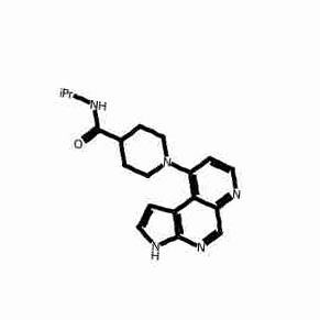 CC(C)NC(=O)C1CCN(c2ccnc3cnc4[nH]ccc4c23)CC1